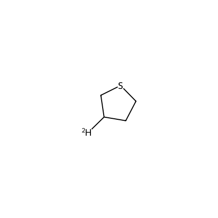 [2H]C1CCSC1